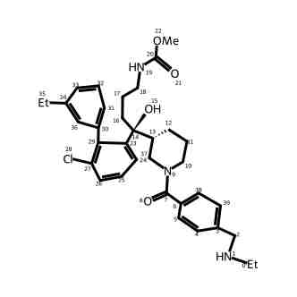 CCNCc1ccc(C(=O)N2CCC[C@@H]([C@@](O)(CCCNC(=O)OC)c3cccc(Cl)c3-c3cccc(CC)c3)C2)cc1